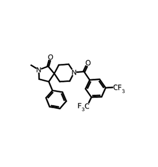 CN1CC(c2ccccc2)C2(CCN(C(=O)c3cc(C(F)(F)F)cc(C(F)(F)F)c3)CC2)C1=O